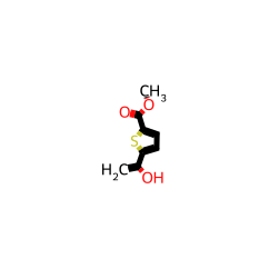 C=C(O)c1ccc(C(=O)OC)s1